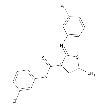 CCc1cccc(N=C2SC(C)CN2C(=S)Nc2cccc(Cl)c2)c1